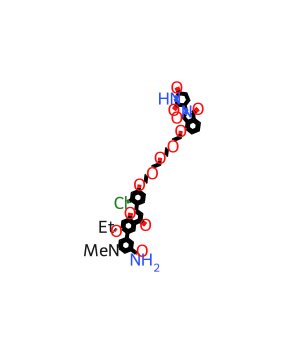 CCOc1cc2oc(-c3ccc(OCCOCCOCCOCCOc4cccc5c4C(=O)N(C4CCC(=O)NC4=O)C5=O)cc3Cl)cc(=O)c2cc1-c1cc(NC)cc(C(N)=O)c1